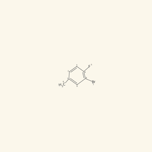 [CH2]c1ccc(F)c(Br)c1